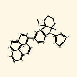 COC12CCCCC1(C)N(c1ccccc1)c1ccc(-c3ccc4ccc5cccc6ccc3c4c56)cc12